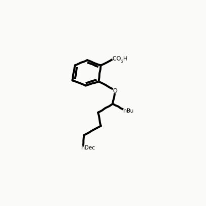 CCCCCCCCCCCCCC(CCCC)Oc1ccccc1C(=O)O